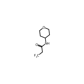 O=C(CC(F)(F)F)NC1CCOCC1